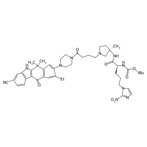 CCc1cc2c(cc1N1CCN(C(=O)CCCN3CC[C@@](C)(NC(=O)[C@H](CCCn4ccnc4[N+](=O)[O-])NC(=O)OC(C)(C)C)C3)CC1)C(C)(C)c1[nH]c3cc(C#N)ccc3c1C2=O